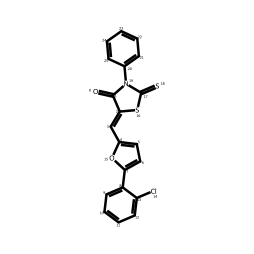 O=C1C(=Cc2ccc(-c3ccccc3Cl)o2)SC(=S)N1c1ccccc1